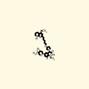 COc1cc(CCCCCO[C@@H]2CCN(C(C(=O)O)c3cc([C@H]4CCC(C)(C)CO4)cc(F)c3OC)C2)nc2c1CCCN2